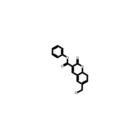 O=C(Oc1ccccc1)C1=CC2=CC(CCl)=CCC2OC1=O